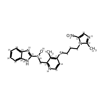 Cc1c(SCCCn2c([N+](=O)[O-])cnc2C)ccnc1C[S+]([O-])c1nc2ccccc2[nH]1